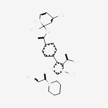 C=CC(=O)N1CCCC[C@H]1c1nc(-c2ccc(C(=O)NC3(C)C=C(C#N)C=CN3)cc2)c(C(N)=O)n1N